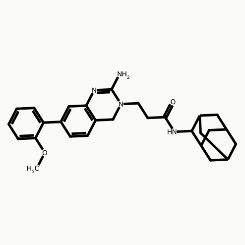 COc1ccccc1-c1ccc2c(c1)N=C(N)N(CCC(=O)NC1C3CC4CC(C3)CC1C4)C2